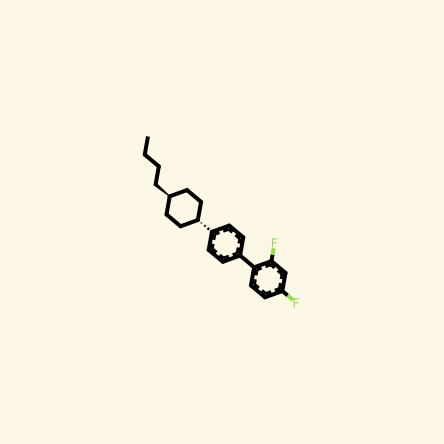 CCCC[C@H]1CC[C@H](c2ccc(-c3ccc(F)cc3F)cc2)CC1